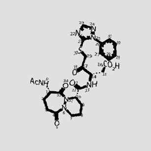 CC(=O)N[C@H]1CCC(=O)N2CCC[C@@H](C(=O)N[C@@H](CC(=O)O)C(=O)CSc3ncnn3-c3ccccc3)N2C1=O